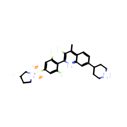 Cc1c(F)c(-c2c(F)cc(S(=O)(=O)N3CC[C@H](F)C3)cc2F)nc2cc(C3CCNCC3)ccc12